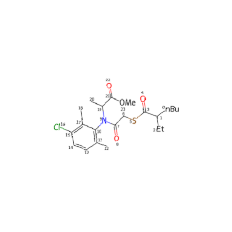 CCCCC(CC)C(=O)SCC(=O)N(c1c(C)ccc(Cl)c1C)C(C)C(=O)OC